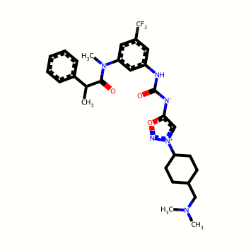 CC(C(=O)N(C)c1cc(NC(=O)[N-]c2c[n+](C3CCC(CN(C)C)CC3)no2)cc(C(F)(F)F)c1)c1ccccc1